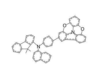 CC1(C)c2ccccc2-c2cccc(N(c3ccc(-c4cc5c6c(c4)c4cccc7c4n6-c4c(cccc4O5)O7)cc3)c3cccc4ccccc34)c21